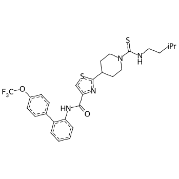 CC(C)CCNC(=S)N1CCC(c2nc(C(=O)Nc3ccccc3-c3ccc(OC(F)(F)F)cc3)cs2)CC1